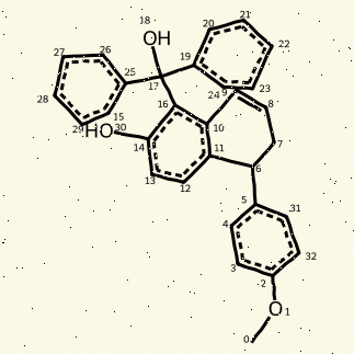 COc1ccc(C2CC=Cc3c2ccc(O)c3C(O)(c2ccccc2)c2ccccc2)cc1